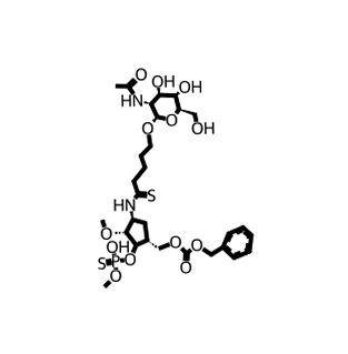 CO[C@H]1C(OP(O)(=S)OC)[C@@H](COC(=O)OCc2ccccc2)C[C@@H]1NC(=S)CCCCO[C@@H]1O[C@H](CO)[C@H](O)[C@H](O)[C@H]1NC(C)=O